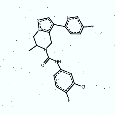 CC1Cn2ncc(-c3ccc(F)cn3)c2CN1C(=O)Nc1ccc(F)c(Cl)c1